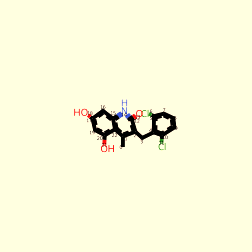 Cc1c(Cc2c(Cl)cccc2Cl)c(=O)[nH]c2cc(O)cc(O)c12